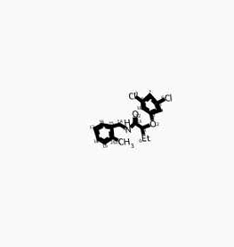 CCC(Oc1cc(Cl)cc(Cl)c1)C(=O)NCc1ccccc1C